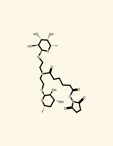 C[C@@H]1O[C@@H](OCCN(CCO[C@@H]2O[C@@H](C)C[C@@H](O)[C@@H]2O)C(=O)CCCCC(=O)ON2C(=O)CCC2=O)[C@@H](O)[C@H](O)[C@@H]1O